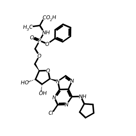 CC(NP(=O)(COC[C@H]1O[C@@H](n2cnc3c(NC4CCCC4)nc(Cl)nc32)[C@H](O)[C@@H]1O)Oc1ccccc1)C(=O)O